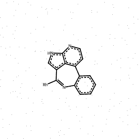 [Rh][C]1=Nc2ccccc2-c2ccnc3[nH]cc1c23